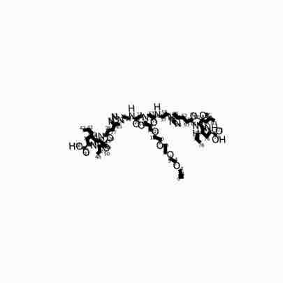 C#CCOCCOCCOCCOCCC(=O)N(CC(=O)NCCn1cc(CCC(=O)N[C@H]([C@@H]2N[C@@H](C(=O)O)C[C@H]2/C=C\C)[C@](C)(CCC)OC)nn1)CC(=O)NCCn1cc(CCC(=O)N[C@H]([C@@H]2N[C@@H](C(=O)O)C[C@H]2/C=C\C)[C@](C)(CCC)OC)nn1